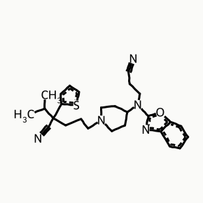 CC(C)C(C#N)(CCCN1CCC(N(CCC#N)c2nc3ccccc3o2)CC1)c1cccs1